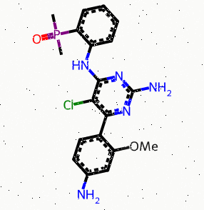 COc1cc(N)ccc1-c1nc(N)nc(Nc2ccccc2P(C)(C)=O)c1Cl